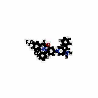 C[C@H](C(=O)NC1(c2ccccc2)CCC(N2CCC(Cc3ccccc3)(N(C)C)CC2)CC1)c1cc(C(F)(F)F)cc(C(F)(F)F)c1